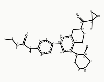 CCNC(=O)Nc1ccc(-c2nc3c(c(N4CCOC[C@@H]4C)n2)CCN(C(=O)C2(C)CC2)C3)cc1